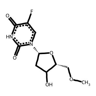 COC[C@H]1O[C@@H](n2cc(F)c(=O)[nH]c2=O)CC1O